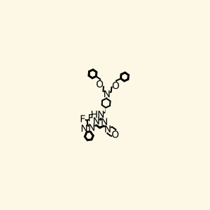 FC(F)c1nc2ccccc2n1-c1cc(N2CCOCC2)nc(NC[C@H]2CC[C@H](N(CCOCc3ccccc3)CCOCc3ccccc3)CC2)n1